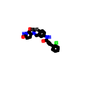 CN(Cc1cc(NC(=O)C#Cc2ccccc2Cl)ccc1C=O)C1CCC(=O)NC1=O